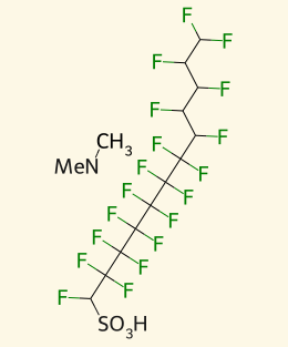 CNC.O=S(=O)(O)C(F)C(F)(F)C(F)(F)C(F)(F)C(F)(F)C(F)(F)C(F)(F)C(F)C(F)C(F)C(F)C(F)F